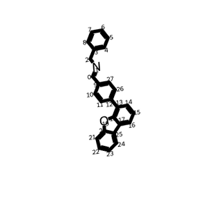 C(=N\Cc1ccccc1)/c1ccc(-c2cccc3c2oc2ccccc23)cc1